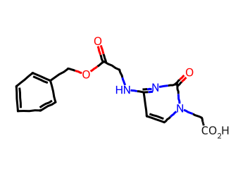 O=C(O)Cn1ccc(NCC(=O)OCc2ccccc2)nc1=O